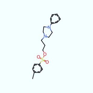 Cc1ccc(S(=O)(=O)OCCCN2CCN(c3ccccc3)CC2)cc1